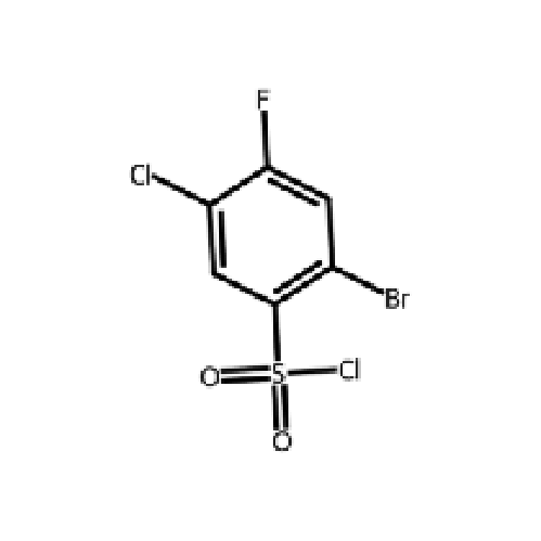 O=S(=O)(Cl)c1cc(Cl)c(F)cc1Br